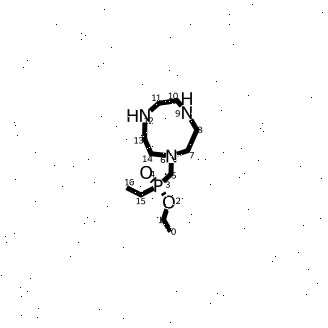 CCOP(=O)([CH]N1CCNCCNCC1)CC